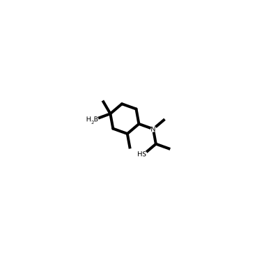 BC1(C)CCC(N(C)C(C)S)C(C)C1